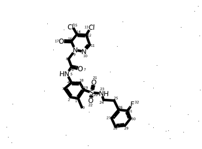 Cc1ccc(NC(=O)Cn2ncc(Cl)c(Cl)c2=O)cc1S(=O)(=O)NCCc1ccccc1F